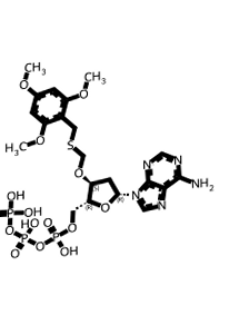 COc1cc(OC)c(CSCO[C@H]2C[C@H](n3cnc4c(N)ncnc43)O[C@@H]2COP(=O)(O)OP(=O)(O)OP(=O)(O)O)c(OC)c1